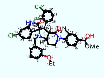 CCOc1cccc(CN2[C@H]3CCN(c4ccc(C(O)OC)cc4[N+](=O)[O-])C(=O)[C@H]3[C@H](c3cccc(Cl)c3F)[C@]23C(=O)Nc2cc(Cl)ccc23)c1